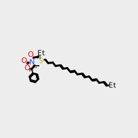 CCC=CCC=CCC=CCC=CCC=CCCCCS[C@H](CC)C(=O)N1C(=O)O[C@H](c2ccccc2)[C@@H]1C